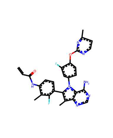 C=CC(=O)Nc1ccc(-c2c(C)c3ncnc(N)c3n2-c2ccc(Oc3nccc(C)n3)c(F)c2)c(F)c1C